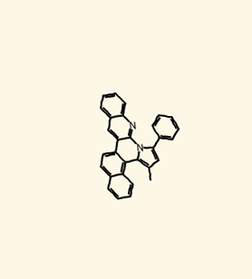 Cc1cc(-c2ccccc2)n2c3nc4ccccc4cc3c3ccc4ccccc4c3c12